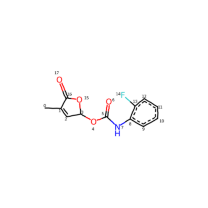 CC1=CC(OC(=O)Nc2ccccc2F)OC1=O